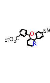 CCOC(=O)c1cccc(C(=O)c2cccnc2-c2ccc(SC)cc2)c1